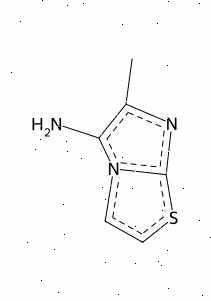 Cc1nc2sccn2c1N